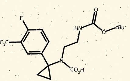 CC(C)(C)OC(=O)NCCN(C(=O)O)C1(c2ccc(F)c(C(F)(F)F)c2)CC1